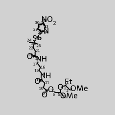 CCC(COC)OC(COC(=O)CCC(=O)NCCCNC(=O)CCC(C)(C)SSc1ccc([N+](=O)[O-])cn1)OC